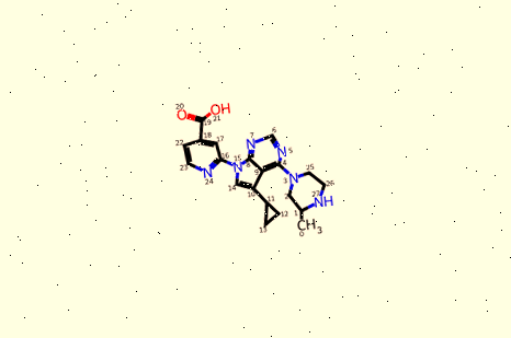 CC1CN(c2ncnc3c2c(C2CC2)cn3-c2cc(C(=O)O)ccn2)CCN1